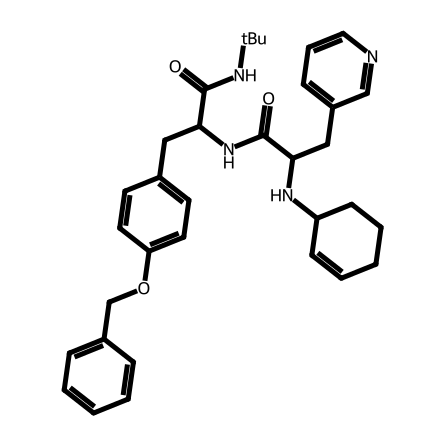 CC(C)(C)NC(=O)C(Cc1ccc(OCc2ccccc2)cc1)NC(=O)C(Cc1cccnc1)NC1C=CCCC1